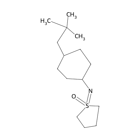 CC(C)(C)CC1CCC(N=S2(=O)CCCC2)CC1